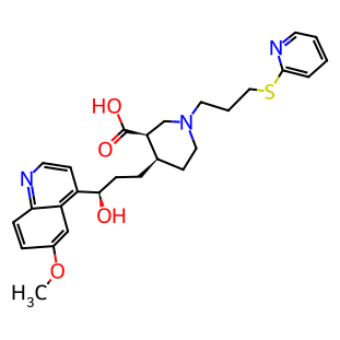 COc1ccc2nccc([C@H](O)CC[C@@H]3CCN(CCCSc4ccccn4)C[C@@H]3C(=O)O)c2c1